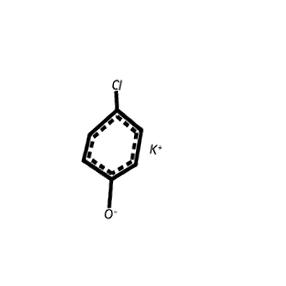 [K+].[O-]c1ccc(Cl)cc1